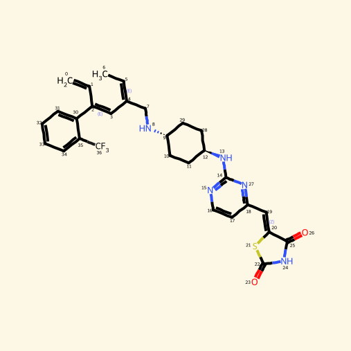 C=C/C(=C\C(=C/C)CN[C@H]1CC[C@H](Nc2nccc(/C=C3\SC(=O)NC3=O)n2)CC1)c1ccccc1C(F)(F)F